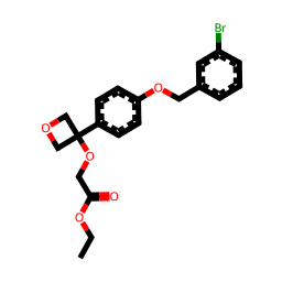 CCOC(=O)COC1(c2ccc(OCc3cccc(Br)c3)cc2)COC1